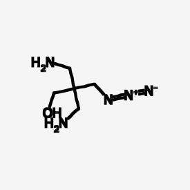 [N-]=[N+]=NCC(CN)(CN)CO